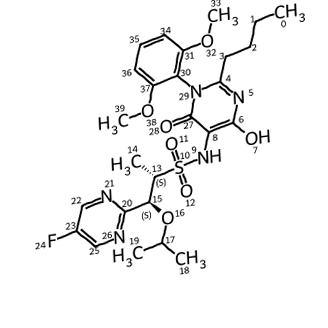 CCCCc1nc(O)c(NS(=O)(=O)[C@@H](C)[C@@H](OC(C)C)c2ncc(F)cn2)c(=O)n1-c1c(OC)cccc1OC